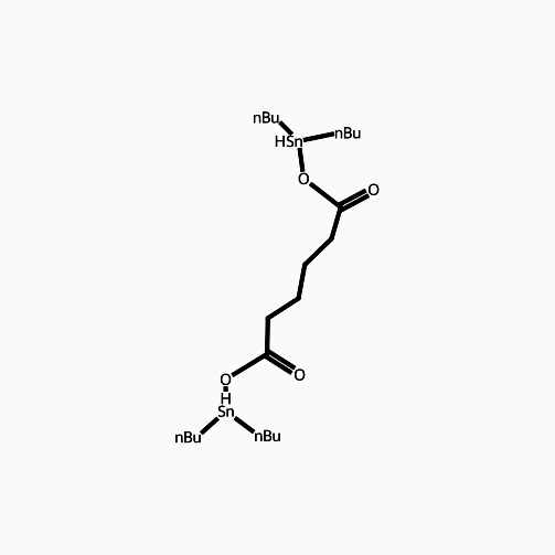 CCC[CH2][SnH]([CH2]CCC)[O]C(=O)CCCCC(=O)[O][SnH]([CH2]CCC)[CH2]CCC